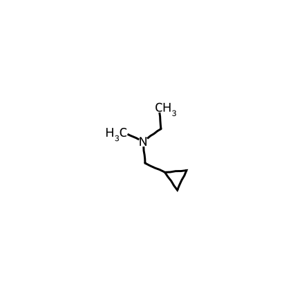 CCN(C)CC1CC1